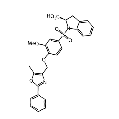 COc1cc(S(=O)(=O)N2c3ccccc3C[C@@H]2C(=O)O)ccc1OCc1nc(-c2ccccc2)oc1C